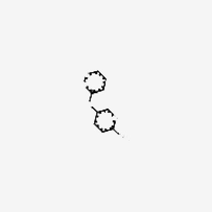 Nc1ccc(Oc2cccnn2)cn1